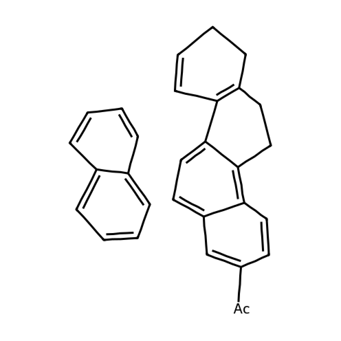 CC(=O)c1ccc2c3c(ccc2c1)C1=C(CCC=C1)CC3.c1ccc2ccccc2c1